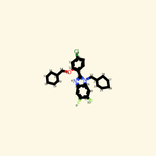 Fc1cc2nc(-c3ccc(Cl)cc3OCC3CCCCC3)n(CC3CCCCC3)c2cc1F